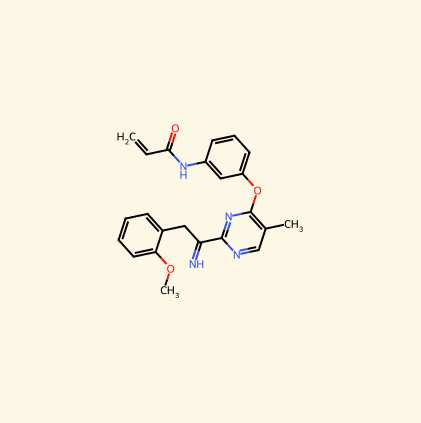 C=CC(=O)Nc1cccc(Oc2nc(C(=N)Cc3ccccc3OC)ncc2C)c1